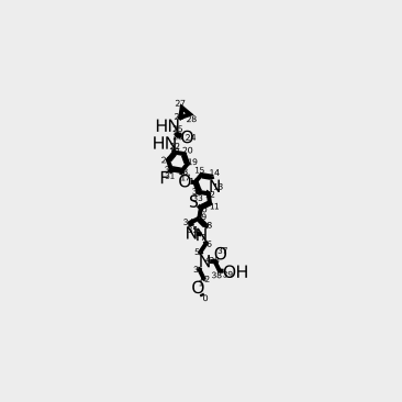 COCCN(CCn1cc(-c2cc3nccc(Oc4ccc(NC(=O)NC5CC5)cc4F)c3s2)cn1)C(=O)CO